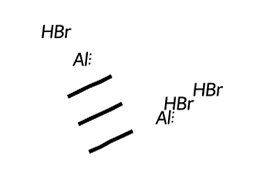 Br.Br.Br.CC.CC.CC.[Al].[Al]